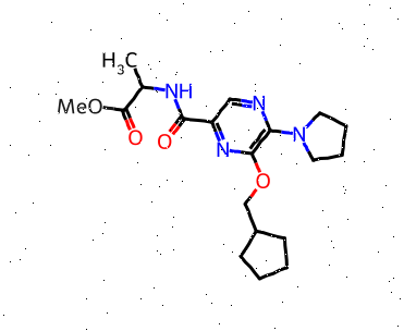 COC(=O)C(C)NC(=O)c1cnc(N2CCCC2)c(OCC2CCCC2)n1